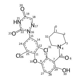 CC1CCN(C(=O)c2cc(Oc3c(Cl)cc(-n4ncc(=O)[nH]c4=O)cc3Cl)ccc2O)CC1